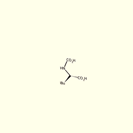 CC[C@H](C)[C@H](NC(=O)O)C(=O)O